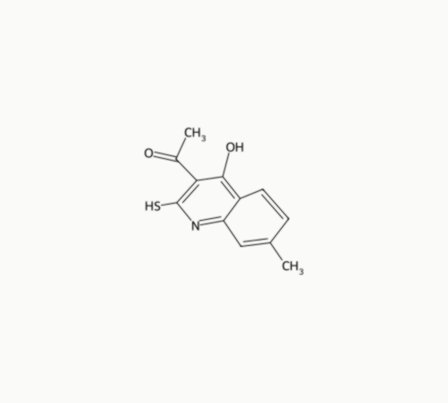 CC(=O)c1c(S)nc2cc(C)ccc2c1O